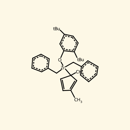 CC1=C[C](C)([Zr]([CH2]c2ccccc2)([CH2]c2ccccc2)[O]c2cc(C(C)(C)C)ccc2C(C)(C)C)C=C1